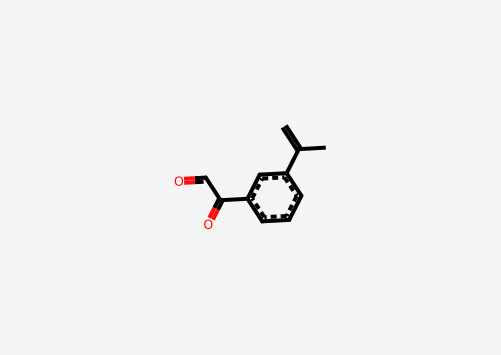 C=C(C)c1cccc(C(=O)C=O)c1